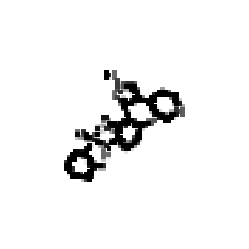 C=S(=O)(Nc1ccc(F)c(-c2nn(CC)cc2-c2ccncc2)c1F)c1ccccc1F